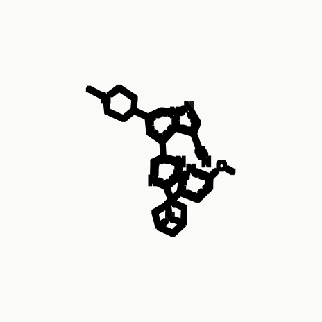 COc1ccc(CN2C3CC2CN(c2cnc(-c4cc(C5CCN(C)CC5)cn5ncc(C#N)c45)cn2)C3)cn1